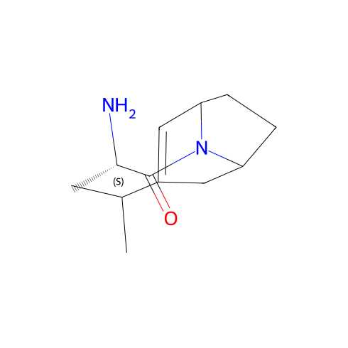 CC(C)C1=CC2CCC(C1)N2C(=O)[C@H](C)N